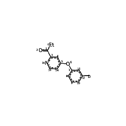 CCC(=O)c1cc(Oc2cccc(C)c2)ccn1